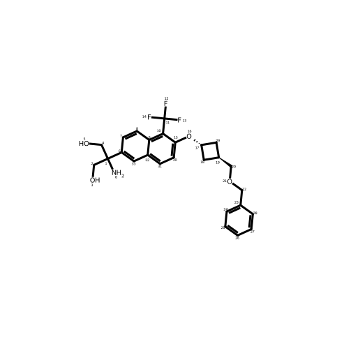 NC(CO)(CO)c1ccc2c(C(F)(F)F)c(O[C@H]3C[C@H](COCc4ccccc4)C3)ccc2c1